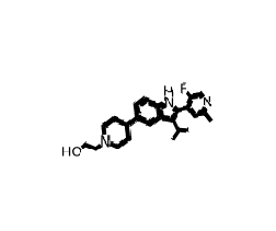 Cc1cc(-c2[nH]c3ccc(C4CCN(CCO)CC4)cc3c2C(C)C)c(F)cn1